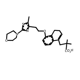 Cc1sc(N2CCOCC2)nc1CCOc1cccc2c1CCC=C2CC(C)(C)C(=O)O